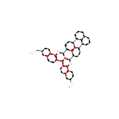 COc1ccc(-c2nc(-c3ccccc3)nc(-c3ccc(-c4cccc5cccc(-c6ccc(-c7nc(-c8ccccc8)nc(-c8ccc(CO)cc8)n7)cc6)c45)cc3)n2)cc1